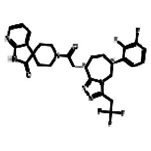 O=C(C[C@@H]1CC[C@@H](c2cccc(F)c2F)Cn2c(CC(F)(F)F)nnc21)N1CCC2(CC1)C(=O)Nc1ncccc12